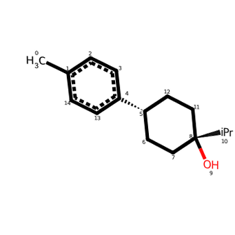 Cc1ccc([C@H]2CC[C@](O)(C(C)C)CC2)cc1